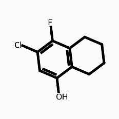 Oc1cc(Cl)c(F)c2c1CCCC2